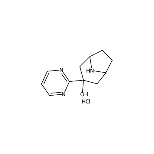 Cl.OC1(c2ncccn2)CC2CCC(C1)N2